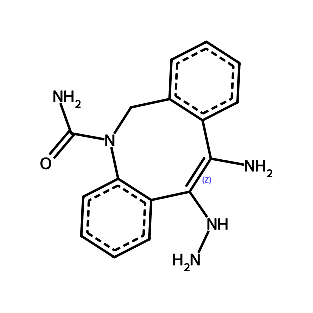 NN/C1=C(\N)c2ccccc2CN(C(N)=O)c2ccccc21